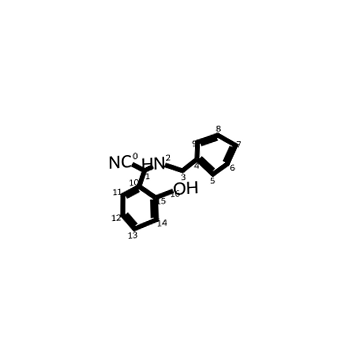 N#CC(NCc1ccccc1)c1ccccc1O